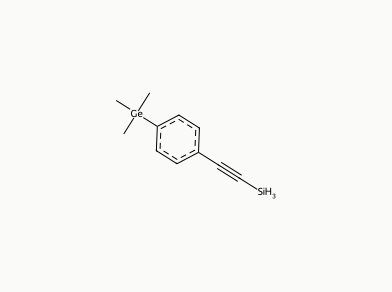 [CH3][Ge]([CH3])([CH3])[c]1ccc(C#C[SiH3])cc1